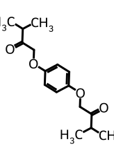 CC(C)C(=O)COc1ccc(OCC(=O)C(C)C)cc1